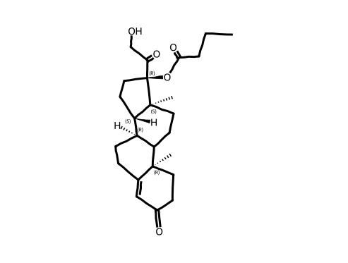 CCCC(=O)O[C@]1(C(=O)CO)CC[C@H]2[C@@H]3CCC4=CC(=O)CC[C@]4(C)C3CC[C@@]21C